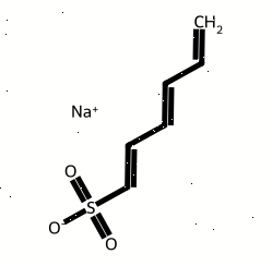 C=CC=CC=CS(=O)(=O)[O-].[Na+]